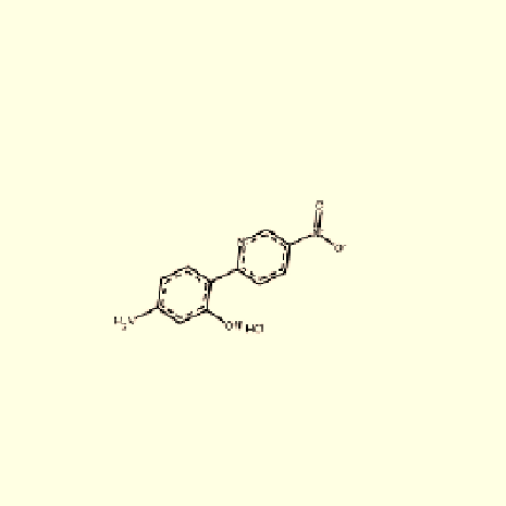 Cl.Nc1ccc(-c2ccc([N+](=O)[O-])cn2)c(O)c1